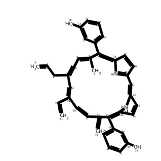 C=CCC1=C\C=C(C)\C(c2cccc(O)c2)=C2\C=CC(=N2)/C=c2/cc/c([nH]2)=C(\c2cccc(O)c2)C(=C)/C=C\C(C=C)=C\1